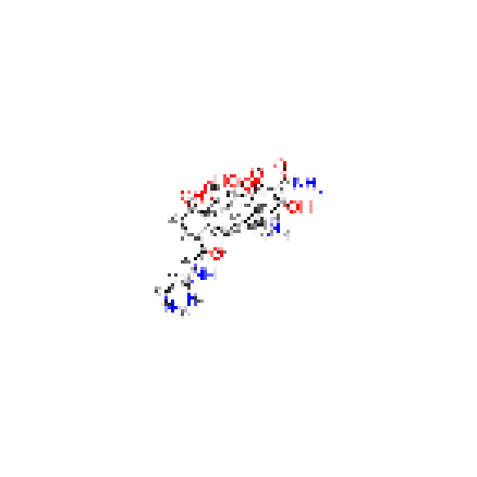 CN(C)[C@H]1C(O)=C(C(N)=O)C(=O)[C@@]2(O)C(O)=C3C(=O)c4c(O)ccc(C(=O)CNc5ccncn5)c4C[C@H]3C[C@@H]12